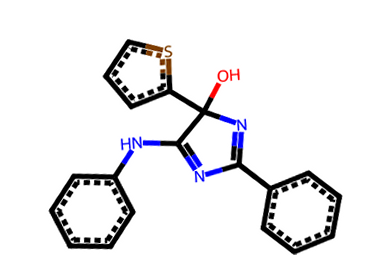 OC1(c2cccs2)N=C(c2ccccc2)N=C1Nc1ccccc1